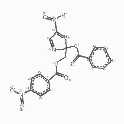 O=C(OCC1(OC(=O)c2ccccc2)N=CC([N+](=O)[O-])=N1)c1ccc([N+](=O)[O-])cc1